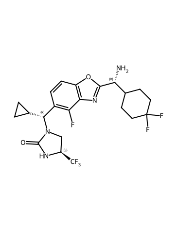 N[C@@H](c1nc2c(F)c([C@@H](C3CC3)N3C[C@@H](C(F)(F)F)NC3=O)ccc2o1)C1CCC(F)(F)CC1